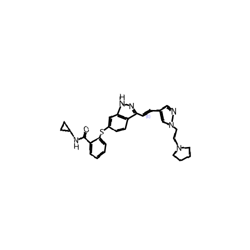 O=C(NC1CC1)c1ccccc1Sc1ccc2c(/C=C/c3cnn(CCN4CCCC4)c3)n[nH]c2c1